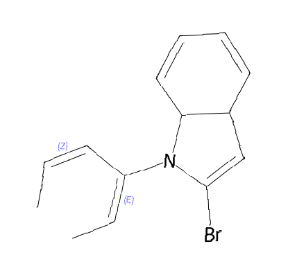 C/C=C\C(=C/C)N1C(Br)=CC2C=CC=CC21